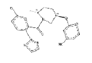 C[C@@H]1CC[C@@H](Oc2cc(C#N)ccn2)CN1C(=O)c1cc(Cl)ccc1-n1nccn1